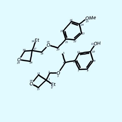 CCC1(COC(C)c2cccc(O)c2)COC1.CCC1(COCc2ccc(OC)cc2)COC1